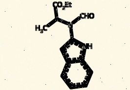 CCOC(=O)C(C)N(C=O)c1cc2ccccc2[nH]1